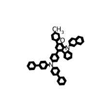 CC1C=Cc2c(oc3c2cc(-c2ccc(N(c4ccc(-c5ccccc5)cc4)c4ccc(-c5ccccc5)cc4)cc2)c2c4ccccc4n(-c4ccc5ccccc5c4)c32)C1